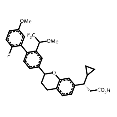 COc1ccc(F)c(-c2ccc(C3CCc4ccc([C@@H](CC(=O)O)C5CC5)cc4O3)cc2C(OC)C(F)(F)F)c1